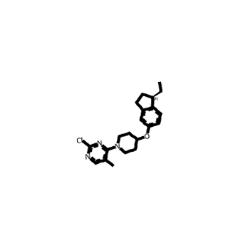 CC[C@@H]1CCc2cc(OC3CCN(c4nc(Cl)ncc4C)CC3)ccc21